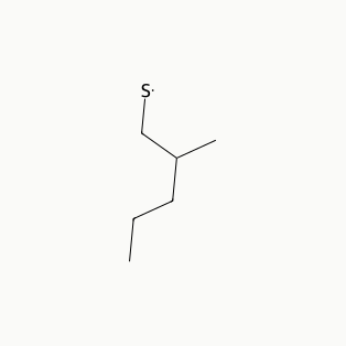 CCCC(C)C[S]